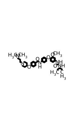 CCC(CC)NC(=O)Nc1ccc(Oc2ccc(NC(=O)c3ccc(OC4CCN(CCCN(C)C)CC4)cc3)cc2)c(OC)c1